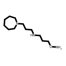 NOCCCNCCCN1CCCCCC1